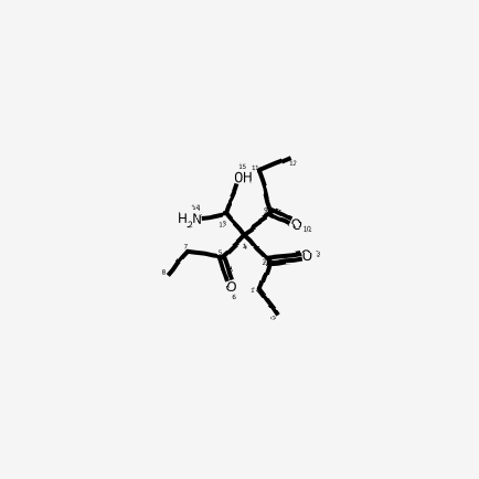 CCC(=O)C(C(=O)CC)(C(=O)CC)C(N)O